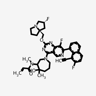 C#Cc1c(F)ccc2cccc(-c3ncc4c(N5CCCC(C)(O)C(N(C)C(=O)C=C)C5)nc(OC[C@@]56CCCN5C[C@H](F)C6)nc4c3F)c12